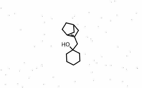 OC1(CC2=C3CCC(C3)C2)CCCCC1